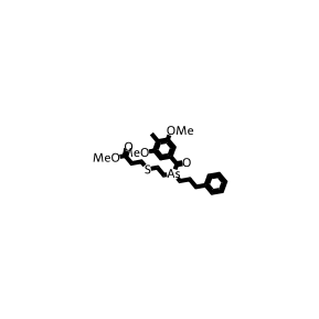 COC(=O)CCSCC[As](CCCc1ccccc1)C(=O)c1cc(OC)c(C)c(OC)c1